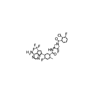 Cc1cc(F)c(-c2cc(C(F)(F)F)c3c(N)ncnn23)cc1C(=O)N[C@@H]1CN(C(=O)c2cccc(F)c2Cl)C[C@@H]1F